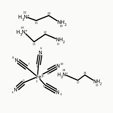 N#[C][Fe-3]([C]#N)([C]#N)([C]#N)[C]#N.NCC[NH3+].NCC[NH3+].NCC[NH3+]